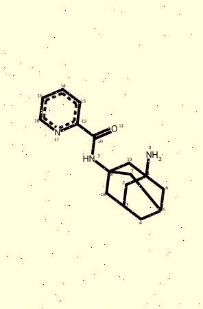 NC12CC3CC(C1)CC(NC(=O)c1ccccn1)(C3)C2